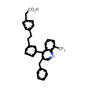 O=C(O)Cc1ccc(CCc2cccc(-c3c(Cc4ccccc4)cnc4c(C(F)(F)F)cccc34)c2)cc1